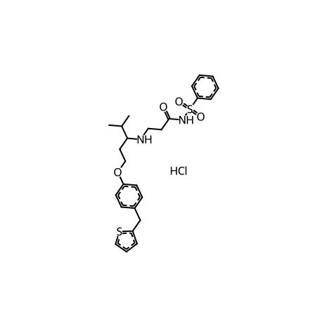 CC(C)C(CCOc1ccc(Cc2cccs2)cc1)NCCC(=O)NS(=O)(=O)c1ccccc1.Cl